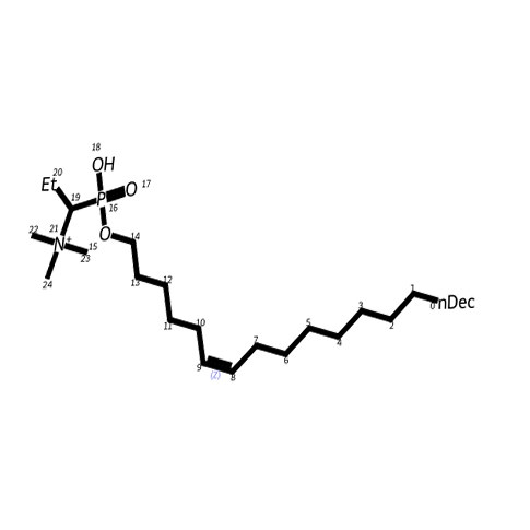 CCCCCCCCCCCCCCCCC/C=C\CCCCCOP(=O)(O)C(CC)[N+](C)(C)C